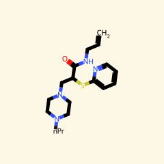 C=CCNC(=O)C(CN1CCN(CCC)CC1)Sc1ccccn1